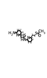 CC(=O)SCCc1cccc(NC(S)Cc2cccc(N)n2)n1